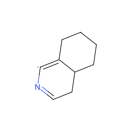 [C]1=C2CCCCC2CC=N1